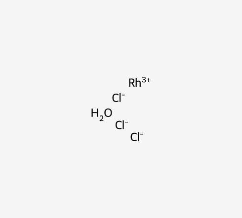 O.[Cl-].[Cl-].[Cl-].[Rh+3]